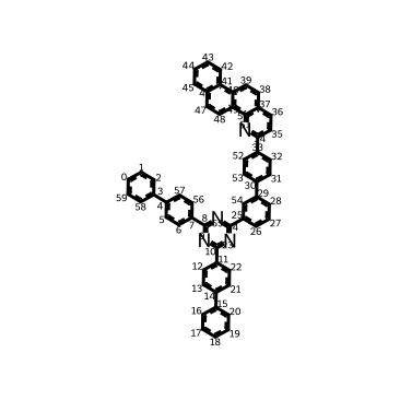 c1ccc(-c2ccc(-c3nc(-c4ccc(-c5ccccc5)cc4)nc(-c4cccc(-c5ccc(-c6ccc7ccc8c9ccccc9ccc8c7n6)cc5)c4)n3)cc2)cc1